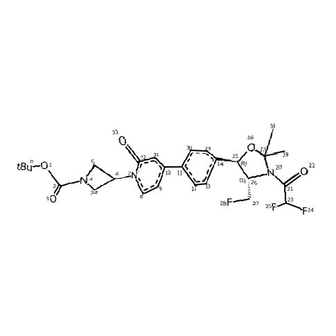 CC(C)(C)OC(=O)N1CC(n2ccc(-c3ccc([C@H]4OC(C)(C)N(C(=O)C(F)F)[C@@H]4CF)cc3)cc2=O)C1